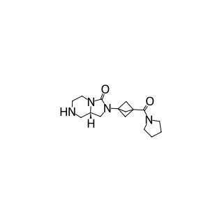 O=C1N2CCNC[C@H]2CN1C12CC(C(=O)N3CCCC3)(C1)C2